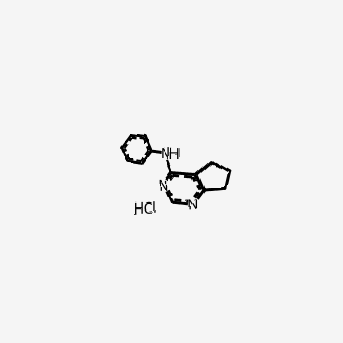 Cl.c1ccc(Nc2ncnc3c2CCC3)cc1